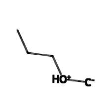 [CH2-][OH+]CCC